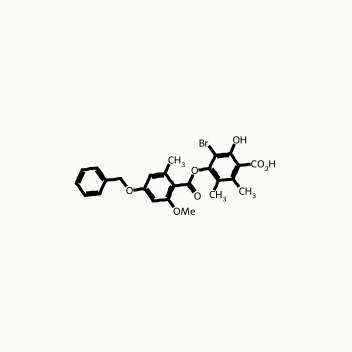 COc1cc(OCc2ccccc2)cc(C)c1C(=O)Oc1c(C)c(C)c(C(=O)O)c(O)c1Br